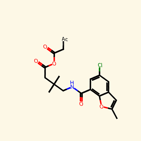 CC(=O)CC(=O)OC(=O)CC(C)(C)CNC(=O)c1cc(Cl)cc2cc(C)oc12